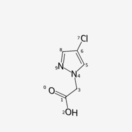 O=C(O)Cn1cc(Cl)cn1